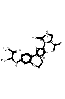 CC(Nc1ccc2c(c1)OCCn1cc(N3C(=O)NC[C@H]3C(F)F)nc1-2)C(N)=O